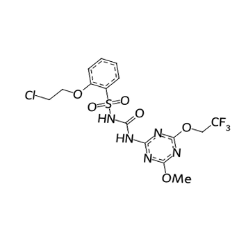 COc1nc(NC(=O)NS(=O)(=O)c2ccccc2OCCCl)nc(OCC(F)(F)F)n1